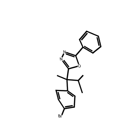 CC(C)C(C)(c1ccc(Br)cc1)c1nnc(-c2ccccc2)o1